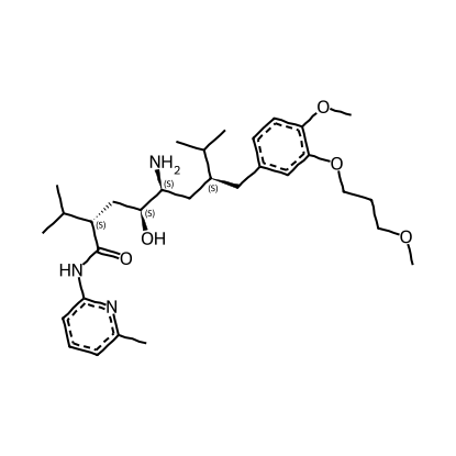 COCCCOc1cc(C[C@@H](C[C@H](N)[C@@H](O)C[C@H](C(=O)Nc2cccc(C)n2)C(C)C)C(C)C)ccc1OC